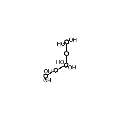 Oc1ccc(O)c(C#Cc2ccc(C#Cc3cc(O)cc(C#Cc4ccc(C#Cc5cc(O)ccc5O)cc4)c3O)cc2)c1